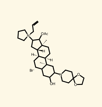 C=CC[N+]1(C2C[C@H]3[C@@H]4CCC5CC(O)C(N6CCC7(CC6)OCCO7)C[C@]5(C)[C@@H]4CC[C@]3(C)C2OC(C)=O)CCCC1.[Br-]